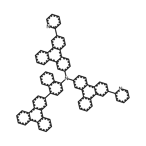 c1ccc(-c2ccc3c4ccc(N(c5ccc6c7ccc(-c8ccccn8)cc7c7ccccc7c6c5)c5ccc(-c6ccc7c8ccccc8c8ccccc8c7c6)c6ccccc56)cc4c4ccccc4c3c2)nc1